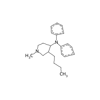 CCCCC1CN(C)CCC1N(c1ccccc1)c1ccccc1